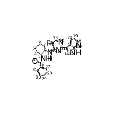 O=C(N[C@@H]1CCCCC1Nc1nc(-c2c[nH]c3ncccc23)ncc1F)c1ccccc1